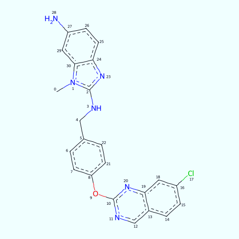 Cn1c(NCc2ccc(Oc3ncc4ccc(Cl)cc4n3)cc2)nc2ccc(N)cc21